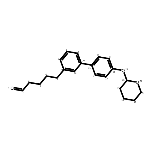 O=CCCCCc1cccc(-c2ccc(OC3CCCCO3)cc2)c1